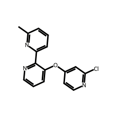 Cc1cccc(-c2ncccc2Oc2ccnc(Cl)c2)n1